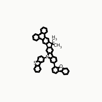 CC1(C)c2cc3c4ccccc4c4ccccc4c3cc2-c2cc3c(cc21)c1ccc(-c2cccc4c2oc2ccccc24)cc1n3-c1ccc2sc3ccccc3c2c1